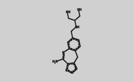 NC1=Nc2cc(CNC(CO)CO)ccc2Cc2ccsc21